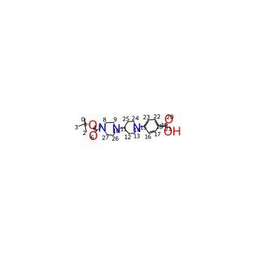 CC(C)(C)OC(=O)N1CCN(C2CCN(c3ccc(C(=O)O)cc3)CC2)CC1